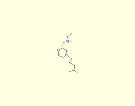 CCNC[C@@H]1CN(CCCC(C)C)CCO1